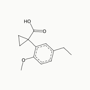 CCc1ccc(OC)c(C2(C(=O)O)CC2)c1